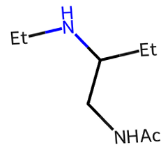 CCNC(CC)CNC(C)=O